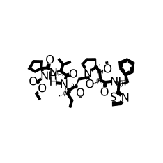 CCOC(=O)NC1(C(=O)N[C@H](C(=O)N(C)[C@@H]([C@@H](C)CC)[C@@H](CC(=O)N2CCC[C@H]2[C@H](OC)[C@@H](C)C(=O)N[C@@H](Cc2ccccc2)c2nccs2)OC)C(C)C)CCCC1